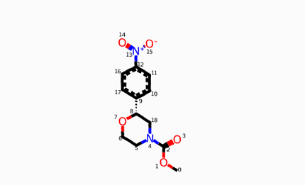 COC(=O)N1CCO[C@H](c2ccc([N+](=O)[O-])cc2)C1